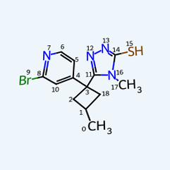 CC1CC(c2ccnc(Br)c2)(c2nnc(S)n2C)C1